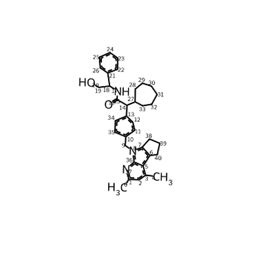 Cc1cc(C)c2c3c(n(Cc4ccc(C(C(=O)NC(CO)c5ccccc5)C5CCCCCC5)cc4)c2n1)CCC3